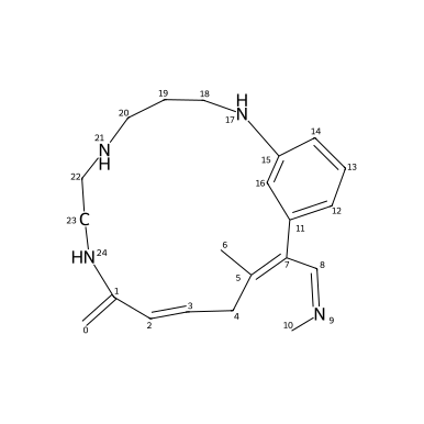 C=C1/C=C\C/C(C)=C(\C=N/C)c2cccc(c2)NCCCNCCN1